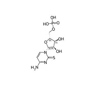 Nc1ccn([C@@H]2O[C@H](COP(=O)(O)O)[C@@H](O)[C@H]2O)c(=S)n1